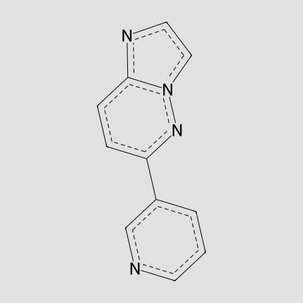 c1cncc(-c2ccc3nccn3n2)c1